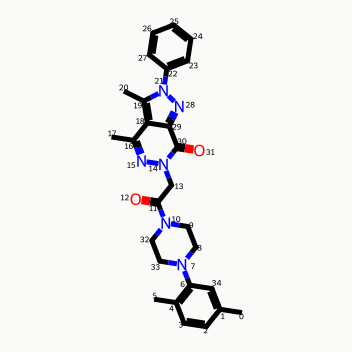 Cc1ccc(C)c(N2CCN(C(=O)Cn3nc(C)c4c(C)n(-c5ccccc5)nc4c3=O)CC2)c1